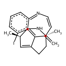 C=C1C=CN=c2cccc(I)c2=C1/C1=C\[C@@H](C)CN[C@H](C)CC1